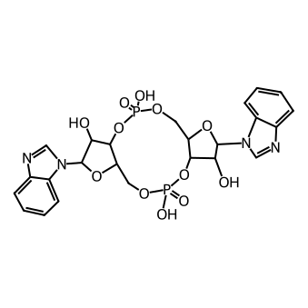 O=P1(O)OCC2OC(n3cnc4ccccc43)C(O)C2OP(=O)(O)OCC2OC(n3cnc4ccccc43)C(O)C2O1